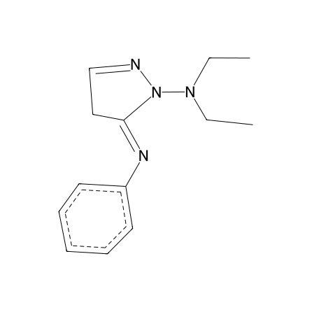 CCN(CC)N1N=CCC1=Nc1ccccc1